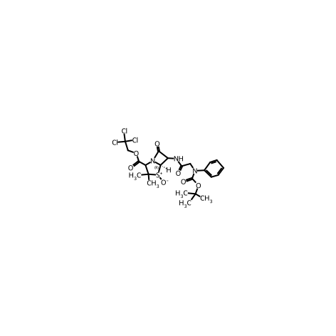 CC(C)(C)OC(=O)N(CC(=O)NC1C(=O)N2C(C(=O)OCC(Cl)(Cl)Cl)C(C)(C)[S+]([O-])[C@H]12)c1ccccc1